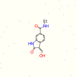 CCNC(=O)c1ccc2c(c1)NC(=O)C2=CO